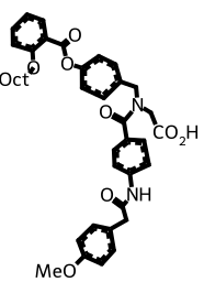 CCCCCCCCOc1ccccc1C(=O)Oc1ccc(CN(CC(=O)O)C(=O)c2ccc(NC(=O)Cc3ccc(OC)cc3)cc2)cc1